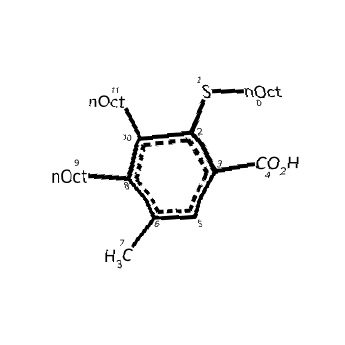 CCCCCCCCSc1c(C(=O)O)cc(C)c(CCCCCCCC)c1CCCCCCCC